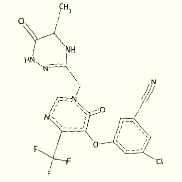 CC1NC(Cn2cnc(C(F)(F)F)c(Oc3cc(Cl)cc(C#N)c3)c2=O)=NNC1=O